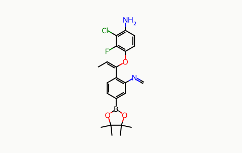 C=Nc1cc(B2OC(C)(C)C(C)(C)O2)ccc1/C(=C\C)Oc1ccc(N)c(Cl)c1F